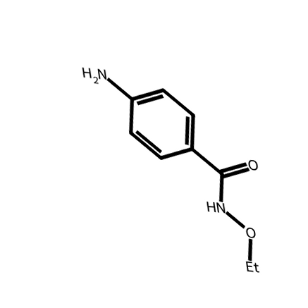 CCONC(=O)c1ccc(N)cc1